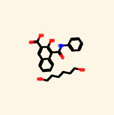 O=C(O)c1cc2ccccc2c(C(=O)Nc2ccccc2)c1O.OCCCCCCO